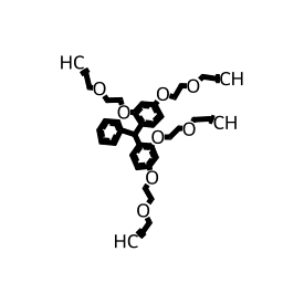 C#CCOCCOc1ccc(C(c2ccccc2)c2ccc(OCCOCC#C)cc2OCCOCC#C)c(OCCOCC#C)c1